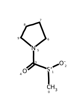 C[S+]([O-])C(=O)N1CCCC1